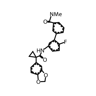 CNC(=O)c1cccc(-c2cc(NC(=O)C3(c4ccc5c(c4)OCO5)CC3)ccc2F)c1